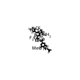 COc1cc(C(=O)NC[C@](O)(c2cc3c(c(-c4cn(C)nc4C(F)(F)F)n2)OC[C@]3(C)C(N)=O)C(F)(F)F)cc2cn(C3CC3)nc12